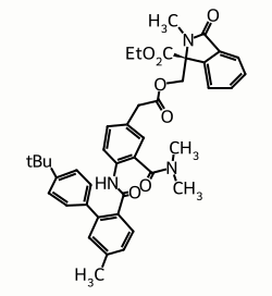 CCOC(=O)[C@]1(COC(=O)Cc2ccc(NC(=O)c3ccc(C)cc3-c3ccc(C(C)(C)C)cc3)c(C(=O)N(C)C)c2)c2ccccc2C(=O)N1C